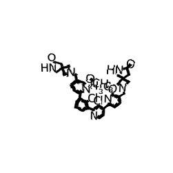 COc1nc(-c2cccc(-c3nccc(-c4ccc(CN5CC6(CNC(=O)C6)C5)c(OC)n4)c3Cl)c2Cl)ccc1CN1CC2(CNC(=O)C2)C1